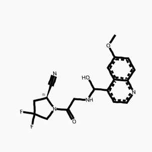 COc1ccc2nccc(C(O)NCC(=O)N3CC(F)(F)C[C@H]3C#N)c2c1